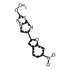 COc1nn2cc(-c3cc4ccc([N+](=O)[O-])cc4o3)nc2s1